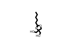 CCCCCC1=NC(CO)(CO)CO1